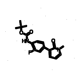 Cn1cccc(-c2ccc(NC(=O)OC(C)(C)C)c(F)c2)c1=O